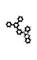 c1ccc(-c2cc(-c3ccccc3)cc(-c3cccc(N4C5=Nc6ccccc6CN5c5ccccc54)c3)c2)cc1